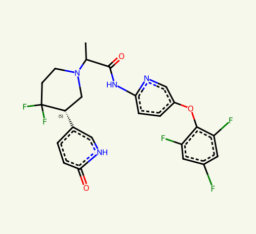 CC(C(=O)Nc1ccc(Oc2c(F)cc(F)cc2F)cn1)N1CCC(F)(F)[C@@H](c2ccc(=O)[nH]c2)C1